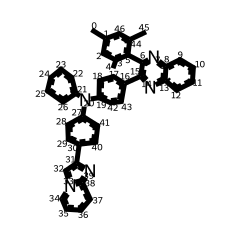 Cc1cc(C)c(-c2nc3ccccc3nc2-c2ccc(N(c3ccccc3)c3ccc(-c4cn5ccccc5n4)cc3)cc2)c(C)c1